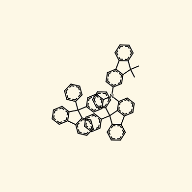 CC1(C)c2ccccc2-c2ccc(N(c3ccc(C4(c5ccccc5)c5ccccc5-c5ccccc54)cc3)c3cccc4c3C(c3ccccc3)(c3ccccc3)c3ccccc3-4)cc21